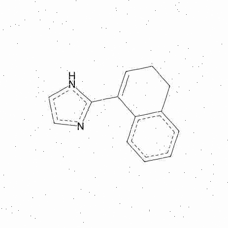 C1=C(c2ncc[nH]2)c2ccccc2CC1